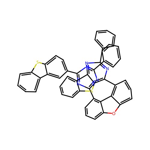 c1ccc(-c2nc(-c3ccc4sc5ccccc5c4c3)nc(-c3cccc4oc5cccc(-c6nc(-c7ccccc7)nc7c6sc6ccccc67)c5c34)n2)cc1